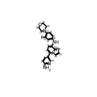 Nc1ccc(-c2ccc(Nc3ccc(N4CCOCC4)c(F)c3)c3nccn23)cn1